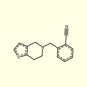 N#Cc1ccccc1CN1CCc2sccc2C1